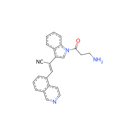 N#C/C(=C\c1cccc2cnccc12)c1cn(C(=O)CCN)c2ccccc12